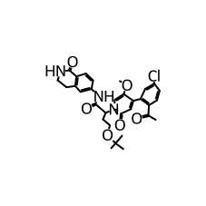 COC(=C/N(C)C(CCOC(C)(C)C)C(=O)Nc1ccc2c(c1)CCNC2=O)/C(=C\C=O)c1cc(Cl)ccc1C(C)=O